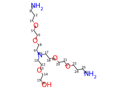 NCCCOCCOCCN(CCOCCO)CCOCCOCCCN